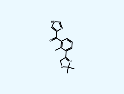 Cc1c(C(=O)c2c[nH]cn2)cccc1C1=NC(C)(C)OC1